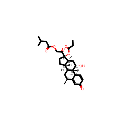 CCC(=O)O[C@]1(C(=O)COC(=O)CC(C)C)CC[C@H]2[C@@H]3C[C@H](C)C4=CC(=O)C=C[C@]4(C)[C@H]3[C@@H](O)C[C@@]21C